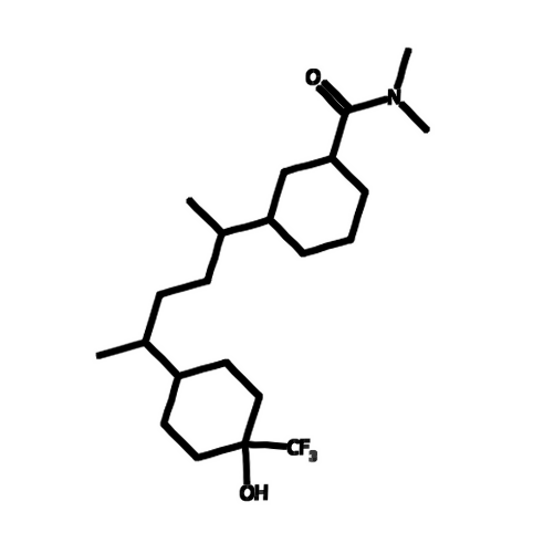 CC(CCC(C)C1CCCC(C(=O)N(C)C)C1)C1CCC(O)(C(F)(F)F)CC1